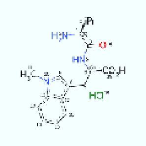 CC(C)[C@H](N)C(=O)N[C@H](Cc1cn(C)c2ccccc12)C(=O)O.Cl